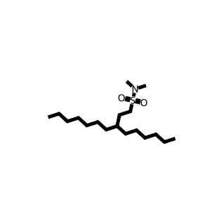 CCCCCCCC(CCCCCC)CCS(=O)(=O)N(C)C